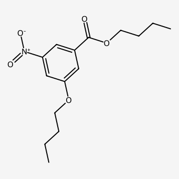 CCCCOC(=O)c1cc(OCCCC)cc([N+](=O)[O-])c1